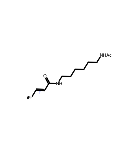 CC(=O)NCCCCCCNC(=O)/C=C/C(C)C